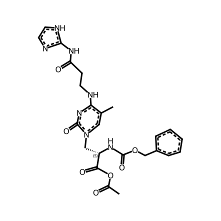 CC(=O)OC(=O)[C@H](Cn1cc(C)c(NCCC(=O)Nc2ncc[nH]2)nc1=O)NC(=O)OCc1ccccc1